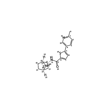 Cc1ccc(-c2ccc(C(=O)N[C@@H]3C[C@H]4CC[C@@H]3N4)s2)cn1